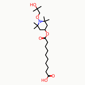 CC(C)(O)CON1C(C)(C)CC(OC(=O)CCCCCCCCC(=O)O)CC1(C)C